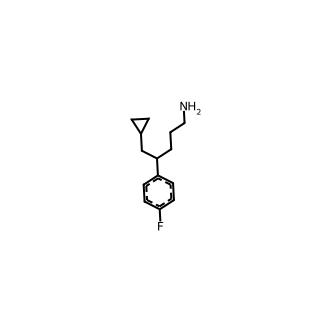 NCCCC(CC1CC1)c1ccc(F)cc1